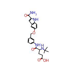 CC(C)(C)NC(CCC(=O)O)C(=O)Nc1cccc(COc2ccc3[nH]c(C(N)=O)cc3c2)c1